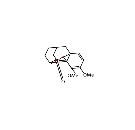 COC1=CC2=C3CC4CC/C3=C/[N+](=O)/C(OC)=C\C2(C=C1)C4